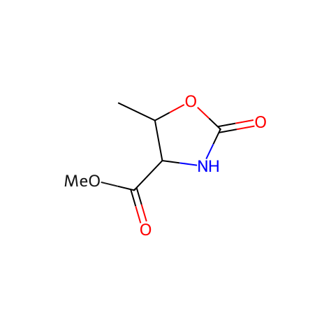 COC(=O)C1NC(=O)OC1C